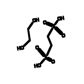 O=S(=O)(O)CCS(=O)(=O)O.OCCO